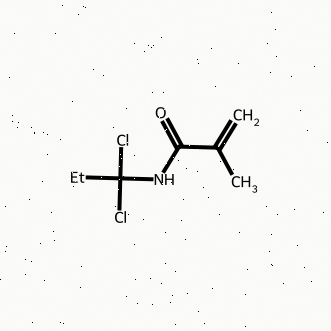 [CH2]CC(Cl)(Cl)NC(=O)C(=C)C